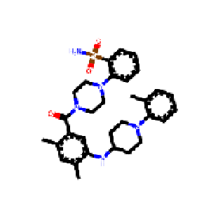 Cc1cc(C)c(C(=O)N2CCN(c3ccccc3S(N)(=O)=O)CC2)cc1NC1CCN(c2ccccc2C)CC1